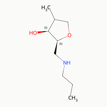 CCCNC[C@@H]1OCC(C)[C@@H]1O